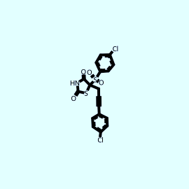 O=C1NC(=O)C(CC#Cc2ccc(Cl)cc2)(S(=O)(=O)c2ccc(Cl)cc2)S1